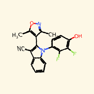 Cc1noc(C)c1-c1c(C#N)c2ccccc2n1-c1ccc(O)c(F)c1F